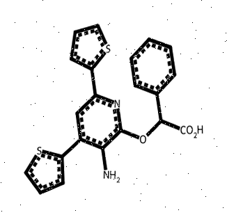 Nc1c(-c2cccs2)cc(-c2cccs2)nc1OC(C(=O)O)c1ccccc1